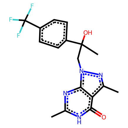 Cc1nc2c(c(C)nn2CC(C)(O)c2ccc(C(F)(F)F)cc2)c(=O)[nH]1